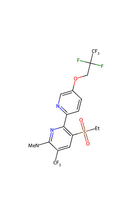 CCS(=O)(=O)c1cc(C(F)(F)F)c(NC)nc1-c1ccc(OCC(F)(F)C(F)(F)F)cn1